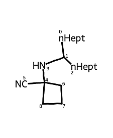 CCCCCCCC(CCCCCCC)NC1(C#N)CCC1